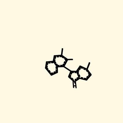 Cc1ccc2[nH]cc(-c3c(C)c(C)cc4ccccc34)c2c1